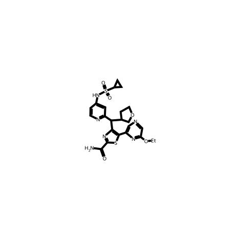 CCOc1cncc(-c2sc(C(N)=O)nc2C(c2cc(NS(=O)(=O)C3CC3)ccn2)C2CCOC2)n1